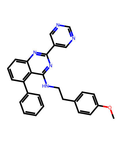 COc1ccc(CCNc2nc(-c3cncnc3)nc3cccc(-c4ccccc4)c23)cc1